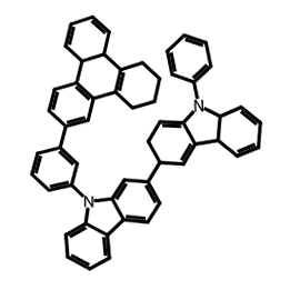 C1=CC2C3=C(CCCC3)c3cc(-c4cccc(-n5c6ccccc6c6ccc(C7C=C8C(=CC7)N(c7ccccc7)C7C=CC=CC87)cc65)c4)ccc3C2C=C1